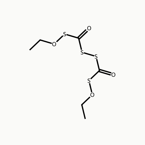 CCOSC(=O)SSC(=O)SOCC